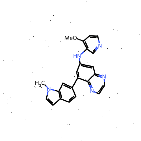 COc1ccncc1Nc1cc(-c2ccc3ccn(C)c3c2)c2nccnc2c1